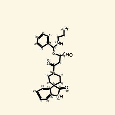 CC(C)CCNC(SC(C=O)CC(=O)N1CCC2(CC1)C(=O)Nc1ccccc12)c1ccccc1